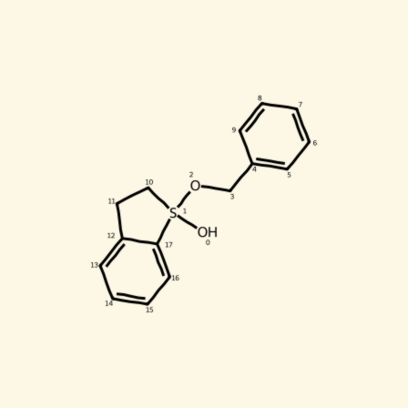 OS1(OCc2ccccc2)CCc2ccccc21